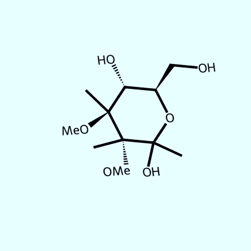 CO[C@@]1(C)[C@H](O)[C@@H](CO)OC(C)(O)[C@]1(C)OC